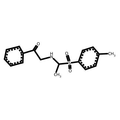 Cc1ccc(S(=O)(=O)C(C)NCC(=O)c2ccccc2)cc1